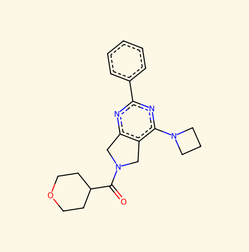 O=C(C1CCOCC1)N1Cc2nc(-c3ccccc3)nc(N3CCC3)c2C1